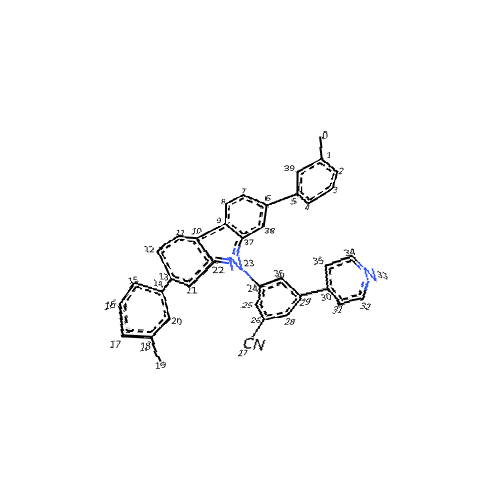 Cc1cccc(-c2ccc3c4ccc(-c5cccc(C)c5)cc4n(-c4cc(C#N)cc(-c5ccncc5)c4)c3c2)c1